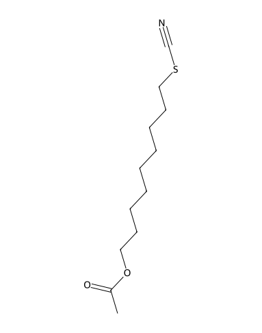 CC(=O)OCCCCCCCCCSC#N